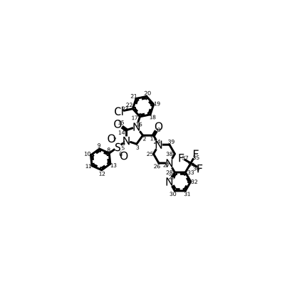 O=C(C1CN(S(=O)(=O)c2ccccc2)C(=O)N1c1ccccc1Cl)N1CCN(c2ncccc2C(F)(F)F)CC1